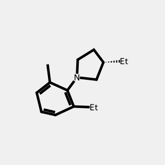 CCc1cccc(C)c1N1CC[C@H](CC)C1